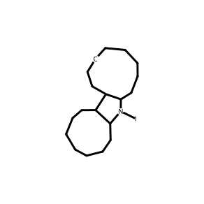 IN1C2CCCCCCCCC2C2CCCCCCCC21